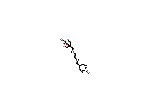 O=P12OCC(COCCOCC34COP(=O)(OC3)OC4)(CO1)CO2